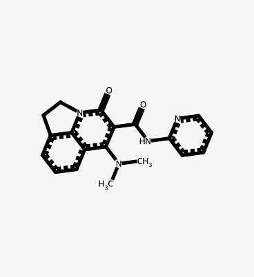 CN(C)c1c(C(=O)Nc2ccccn2)c(=O)n2c3c(cccc13)CC2